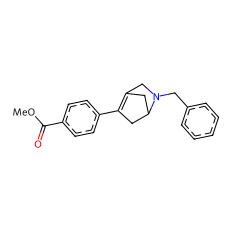 COC(=O)c1ccc(C2=C3CC(C2)N(Cc2ccccc2)C3)cc1